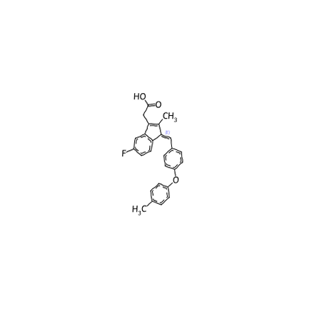 CC1=C(CC(=O)O)c2cc(F)ccc2/C1=C\c1ccc(Oc2ccc(C)cc2)cc1